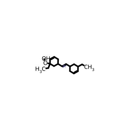 CCC1C=CCC(/C=C/C2CC=CC(CC)(OO)C2)C1